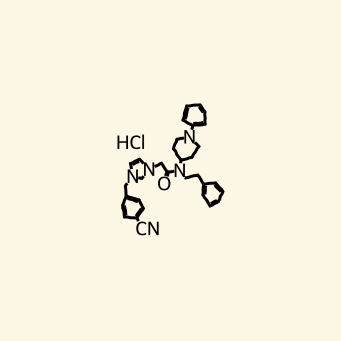 Cl.N#Cc1ccc(CN2C=CN(CC(=O)N(CCc3ccccc3)C3CCN(c4ccccc4)CC3)C2)cc1